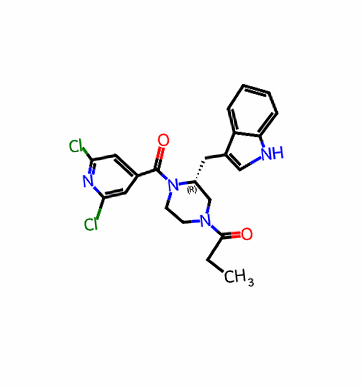 CCC(=O)N1CCN(C(=O)c2cc(Cl)nc(Cl)c2)[C@H](Cc2c[nH]c3ccccc23)C1